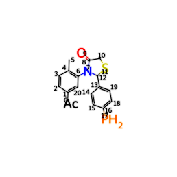 CC(=O)c1ccc(C)c(N2C(=O)CSC2c2ccc(P)cc2)c1